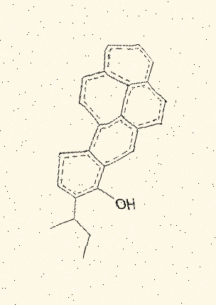 CCC(C)c1ccc2c(cc3ccc4cccc5ccc2c3c45)c1O